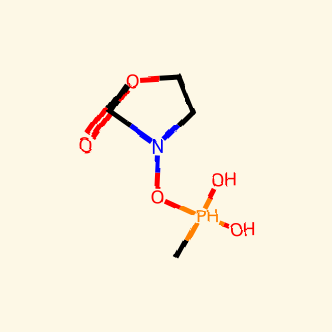 C[PH](O)(O)ON1CCOC1=O